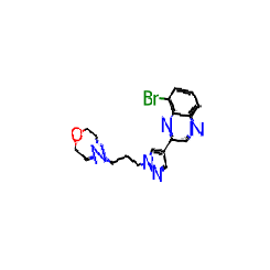 Brc1cccc2ncc(-c3cnn(CCCN4CCOCC4)c3)nc12